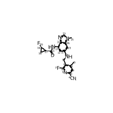 Cc1cc(C#N)nc(F)c1CNc1cc(NC(=O)[C@H]2C[C@H]2F)c2ncn(C)c2c1